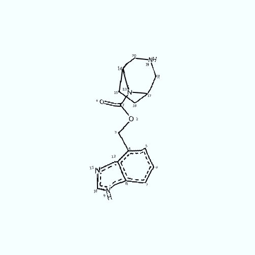 O=C(OCc1cccc2[nH]cnc12)N1C2CCC1CNC2